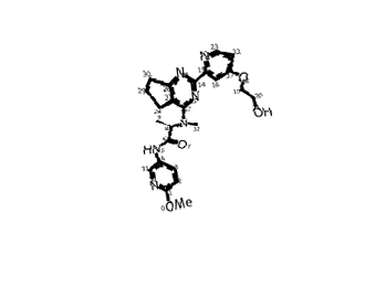 COc1ccc(NC(=O)[C@@H](C)N(C)c2nc(-c3cc(OCCO)ccn3)nc3c2CCC3)cn1